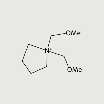 COC[N+]1(COC)CCCC1